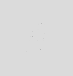 COC(=O)Cn1c(C)c(I)c2cc(F)ccc21